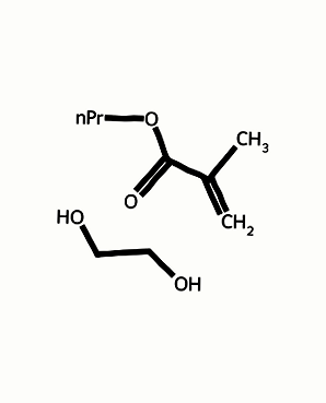 C=C(C)C(=O)OCCC.OCCO